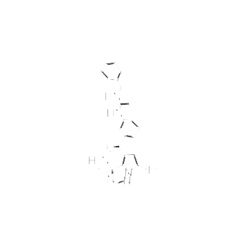 CC(C)c1cc(C(=O)c2cccc(NC(=O)NCc3ccccc3)c2)c2c(N)ncnn12